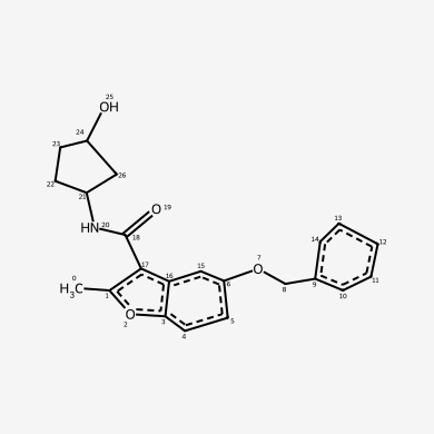 Cc1oc2ccc(OCc3ccccc3)cc2c1C(=O)NC1CCC(O)C1